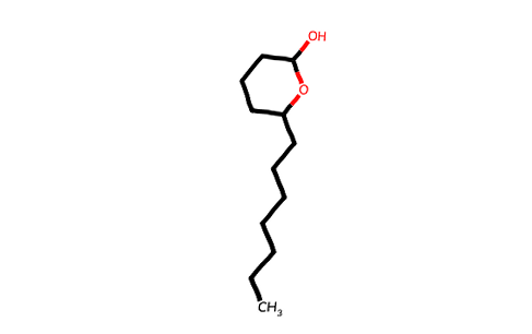 CCCCCCCC1CCCC(O)O1